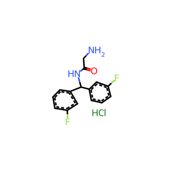 Cl.NCC(=O)NC(c1cccc(F)c1)c1cccc(F)c1